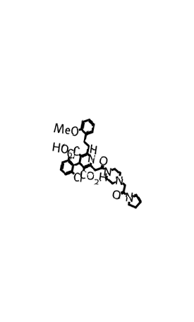 COc1ccccc1CCC1=C(C(=O)O)C(c2c(Cl)cccc2Cl)C(C(=O)O)=C(CC(=O)N2CCN(CC(=O)N3CCCC3)CC2)N1